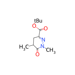 CC1CC(C(=O)OC(C)(C)C)=NN(C)C1=O